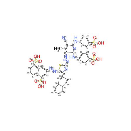 Cc1c(C#N)c(Nc2ccc(S(=O)(=O)O)cc2)nc(Nc2ccc(S(=O)(=O)O)cc2)c1/N=N/c1nc(C2=CC3C=CC=CC3C=C2)c(/N=N/c2cc(S(=O)(=O)O)c3cccc(S(=O)(=O)O)c3c2)s1